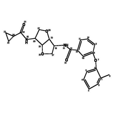 Cc1ccccc1Oc1cccc(C(=O)NC2COC3C(NC(=O)C4CC4)COC23)c1